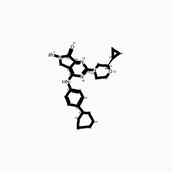 CC(C)N1Cc2c(Nc3ccc(C4CCCCC4)cc3)nc(N3CCO[C@H](C4CC4)C3)nc2C1=O